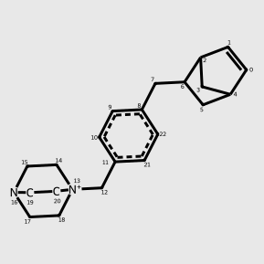 C1=CC2CC1CC2Cc1ccc(C[N+]23CCN(CC2)CC3)cc1